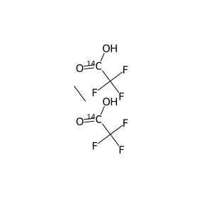 CC.O=[14C](O)C(F)(F)F.O=[14C](O)C(F)(F)F